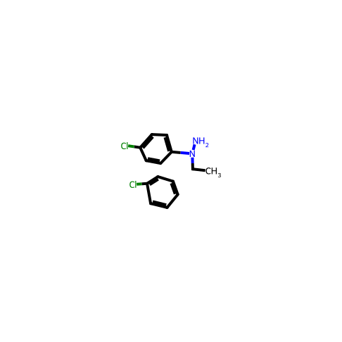 CCN(N)c1ccc(Cl)cc1.Clc1ccccc1